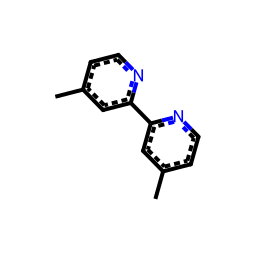 Cc1ccnc(-c2cc(C)ccn2)c1